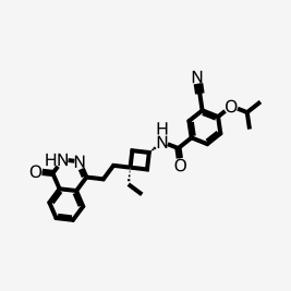 CC[C@]1(CCc2n[nH]c(=O)c3ccccc23)C[C@H](NC(=O)c2ccc(OC(C)C)c(C#N)c2)C1